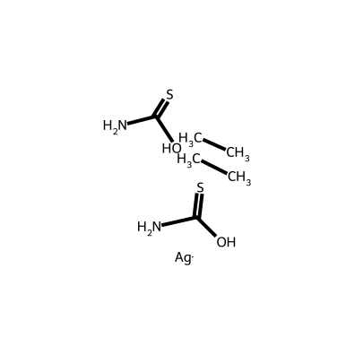 CC.CC.NC(O)=S.NC(O)=S.[Ag]